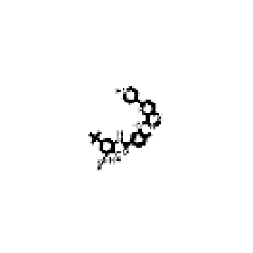 COc1c(NSC)cc(C(C)(C)C)cc1NC(=O)c1ccc(C)c(Nc2ncnc3ccc(C4CCNCC4)nc23)c1